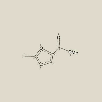 [CH2]c1ccc(C(=O)OC)o1